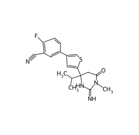 CC(C)C1(c2cc(-c3ccc(F)c(C#N)c3)cs2)CC(=O)N(C)C(=N)N1